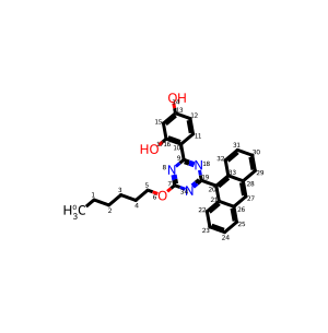 CCCCCCOc1nc(-c2ccc(O)cc2O)nc(-c2c3ccccc3cc3ccccc23)n1